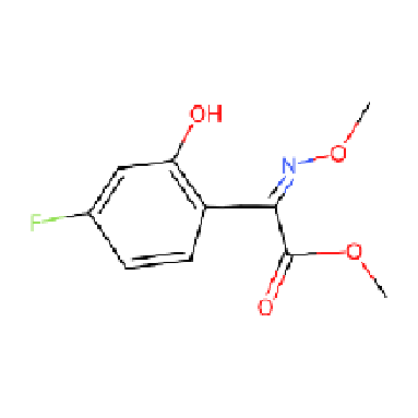 CON=C(C(=O)OC)c1ccc(F)cc1O